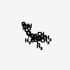 COc1c(C)c(C)c(OC(C)(C)COc2ccc(CC3SC(=O)NC3=O)cc2)c(C)c1C